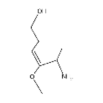 COC(=CCCO)C(C)N